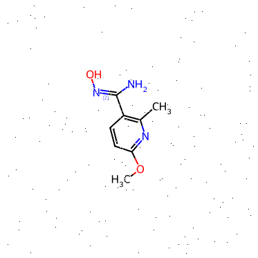 COc1ccc(/C(N)=N/O)c(C)n1